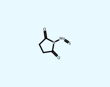 O=C1CCC(=O)[N]1[Mo]=[S]